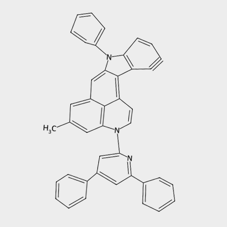 Cc1cc2c3c(c4c5c#cccc5n(-c5ccccc5)c4cc3c1)C=CN2c1cc(-c2ccccc2)cc(-c2ccccc2)n1